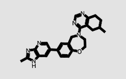 Cc1nc2ncc(-c3ccc4c(c3)CN(c3ncnc5c3CC(C)CC5)CCO4)cc2[nH]1